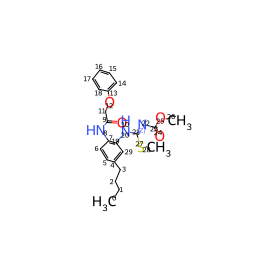 CCCCc1ccc(NC(=O)COc2ccccc2)c(N/C(=N/C(=O)OC)SC)c1